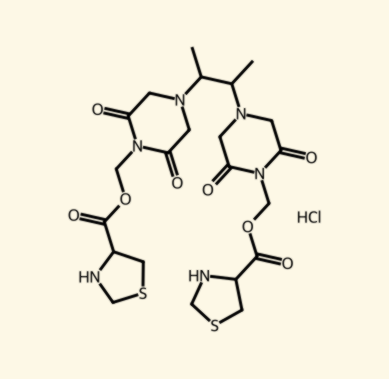 CC(C(C)N1CC(=O)N(COC(=O)C2CSCN2)C(=O)C1)N1CC(=O)N(COC(=O)C2CSCN2)C(=O)C1.Cl